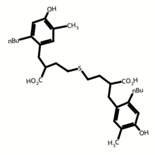 CCCCc1cc(O)c(C)cc1CC(CCSCCC(Cc1cc(C)c(O)cc1CCCC)C(=O)O)C(=O)O